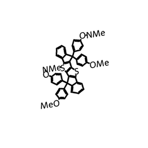 CNOc1ccc(C2(c3ccc(OC)cc3)c3ccccc3-c3sc4c5c(sc4c32)-c2ccccc2C5(c2ccc(OC)cc2)c2ccc(ONC)cc2)cc1